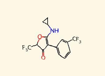 O=C1C(c2cccc(C(F)(F)F)c2)=C(NC2CC2)OC1C(F)(F)F